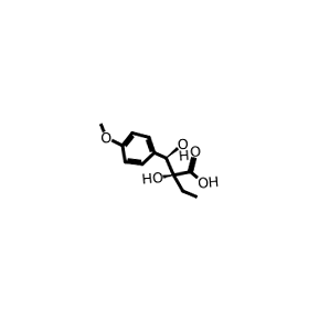 CC[C@@](O)(C(=O)O)[C@H](O)c1ccc(OC)cc1